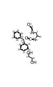 CC(CN=C=O)N=C=O.OCCO.c1ccc(Cc2ccccc2)cc1